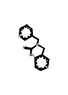 NC(=S)N(Cc1cccnc1)Cc1cccnc1